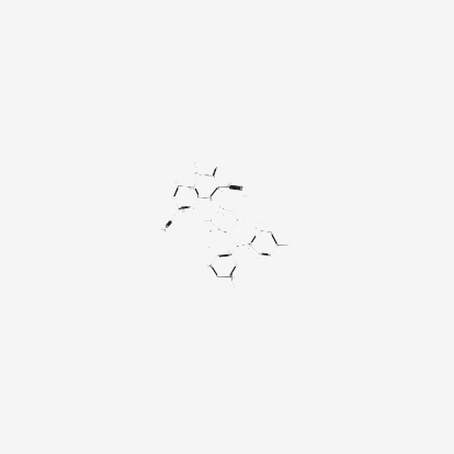 Cc1ccc(C(c2cccc(F)c2)N2CCN(c3c(C#N)c(=O)n(C)c4ccc(C#N)nc34)C[C@H]2C)nc1